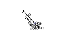 CC(C)CCCCC(=O)CCCCCC/C=C/[C@H](C(=O)N[C@@H](Cc1ccc(OCCC(C)C)cc1)C(=O)O)C(O)(CC(=O)O)C(=O)O